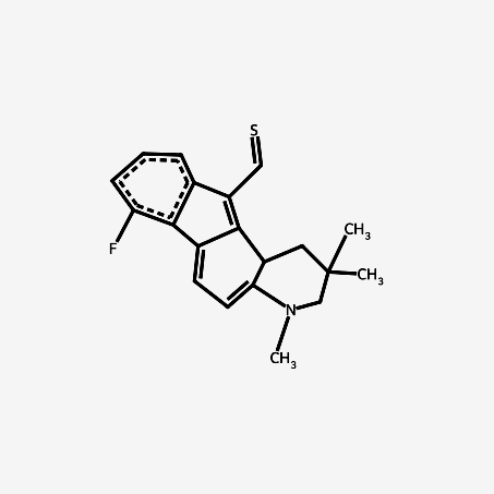 CN1CC(C)(C)CC2C1=CC=C1C2=C(C=S)c2cccc(F)c21